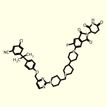 CC(C)(c1ccc(OCc2ccnc(N3CCC(CN4CCC(C5CCN(c6cc7c(cc6F)C(=O)N(C6CCC(=O)NC6=O)C7=O)CC5)CC4)CC3)n2)cc1)c1cc(Cl)cc(C#N)c1